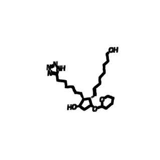 OCCCCCCC=C[C@H]1[C@H](CCCCCCc2nnn[nH]2)[C@H](O)C[C@@H]1OC1CCCCO1